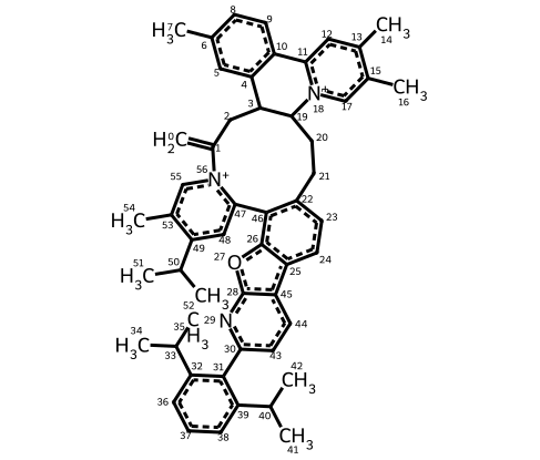 C=C1CC2c3cc(C)ccc3-c3cc(C)c(C)c[n+]3C2CCc2ccc3c(oc4nc(-c5c(C(C)C)cccc5C(C)C)ccc43)c2-c2cc(C(C)C)c(C)c[n+]21